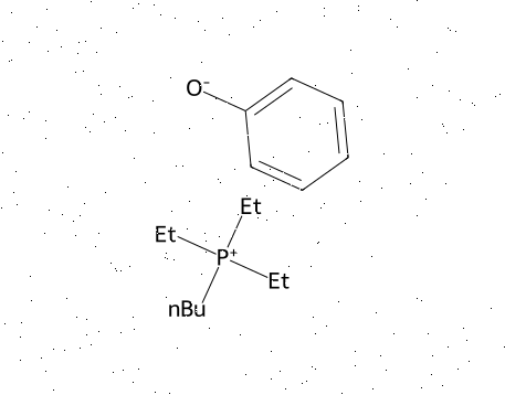 CCCC[P+](CC)(CC)CC.[O-]c1ccccc1